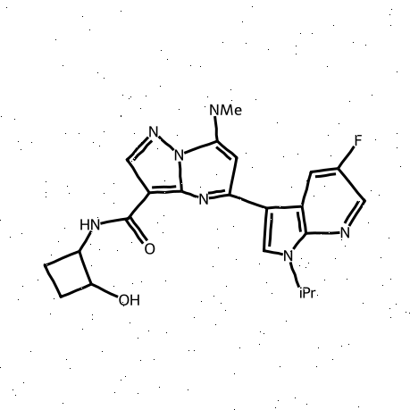 CNc1cc(-c2cn(C(C)C)c3ncc(F)cc23)nc2c(C(=O)NC3CCC3O)cnn12